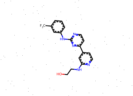 OCCNc1cc(-c2ccnc(Nc3cccc(C(F)(F)F)c3)n2)ccn1